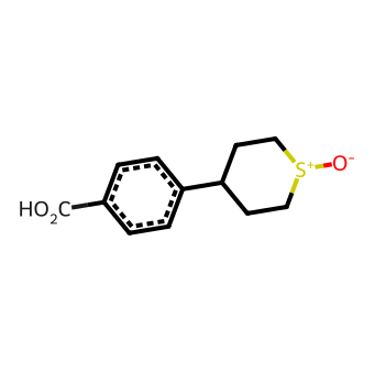 O=C(O)c1ccc(C2CC[S+]([O-])CC2)cc1